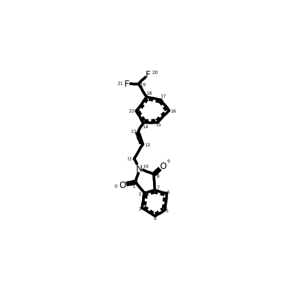 O=C1c2ccccc2C(=O)N1C/C=C/c1cccc(C(F)F)c1